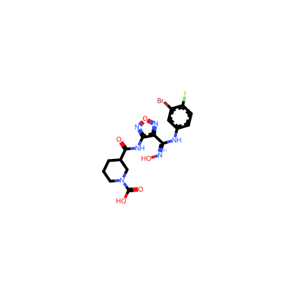 O=C(Nc1nonc1/C(=N\O)Nc1ccc(F)c(Br)c1)C1CCCN(C(=O)O)C1